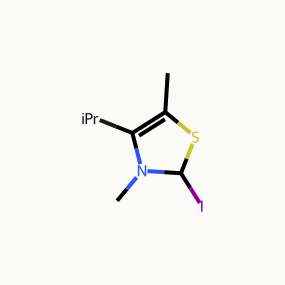 CC1=C(C(C)C)N(C)C(I)S1